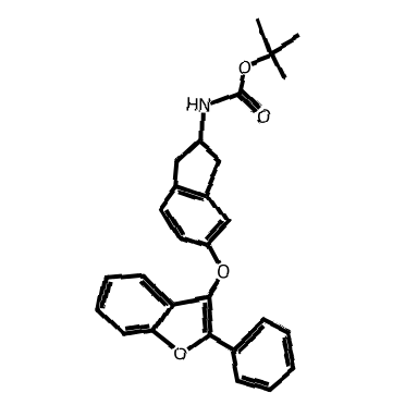 CC(C)(C)OC(=O)NC1Cc2ccc(Oc3c(-c4ccccc4)oc4ccccc34)cc2C1